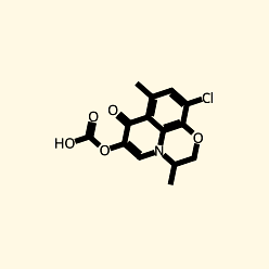 Cc1cc(Cl)c2c3c1c(=O)c(OC(=O)O)cn3C(C)CO2